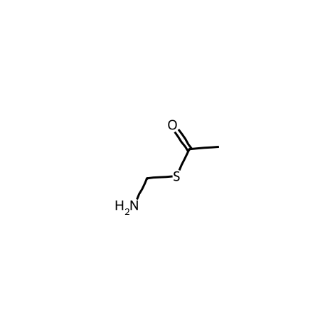 CC(=O)SCN